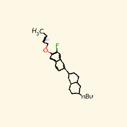 C/C=C/COc1cc2ccc(C3CCC4CC(CCCC)CCC4C3)cc2cc1F